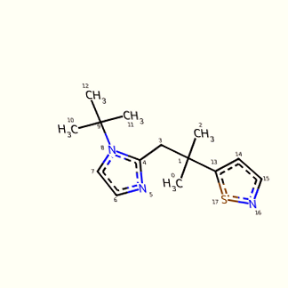 CC(C)(Cc1nccn1C(C)(C)C)c1ccns1